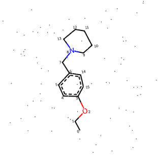 CCOc1ccc(CN2CCCCC2)cc1